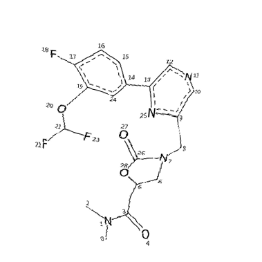 CN(C)C(=O)C1CN(Cc2cncc(-c3ccc(F)c(OC(F)F)c3)n2)C(=O)O1